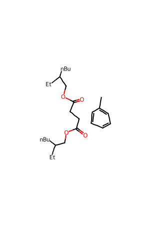 CCCCC(CC)COC(=O)CCC(=O)OCC(CC)CCCC.Cc1ccccc1